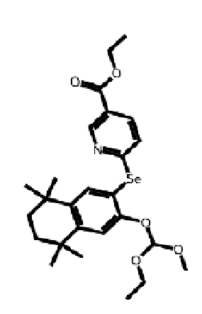 CCOC(=O)c1ccc([Se]c2cc3c(cc2OC(OC)OCC)C(C)(C)CCC3(C)C)nc1